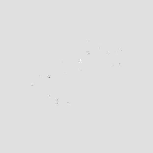 CC(C)(C)OC(=O)N1CCC([S+]([O-])c2ncccc2[N+](=O)[O-])C1